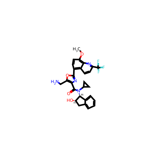 COc1ccc(-c2nc(C(=O)N(C3CC3)[C@@H]3c4ccccc4C[C@@H]3O)c(CN)o2)c2ccc(C(F)(F)F)nc12